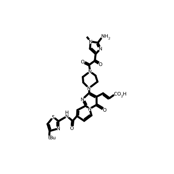 Cn1cc(C(=O)C(=O)N2CCN(c3nc4cc(C(=O)Nc5nc(C(C)(C)C)cs5)ccn4c(=O)c3C=CC(=O)O)CC2)nc1N